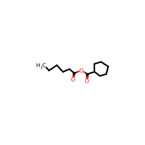 CCCCCC(=O)OC(=O)C1CCCCC1